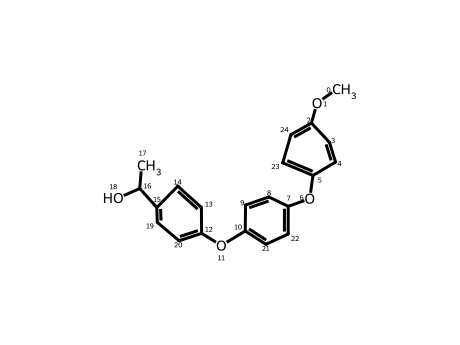 COc1ccc(Oc2ccc(Oc3ccc(C(C)O)cc3)cc2)cc1